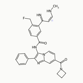 CN/C=C\C(=N)c1cc(C(=O)Nc2c(-c3ccccc3)nc3cc(C(=O)N4CCC4)ccn23)ccc1CF